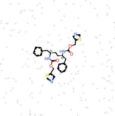 O=C(N[C@H](CC[C@H](Cc1ccccc1)NC(=O)OCc1cncs1)Cc1ccccc1)OCc1cncs1